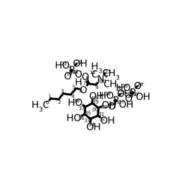 CCCCCCOC(=O)C[N+](C)(C)C.O=P(O)(O)O.O=P(O)(O)O.O=P([O-])(O)O.OC1C(O)C(O)C(O)C(O)C1O